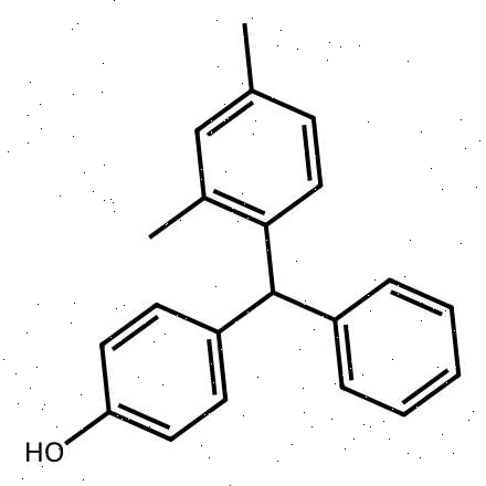 Cc1ccc(C(c2ccccc2)c2ccc(O)cc2)c(C)c1